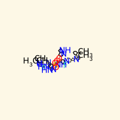 CC(C)c1ccccc1[C@@H]1CCCN1C1CC2(CCN(c3cc(Oc4cnc5[nH]ccc5c4)c(C(=O)NS(=O)(=O)c4cc(N)c(NCC5(F)CCN(CC(C)(C)C)CC5)c5[nH]cnc45)cc3F)CC2)C1